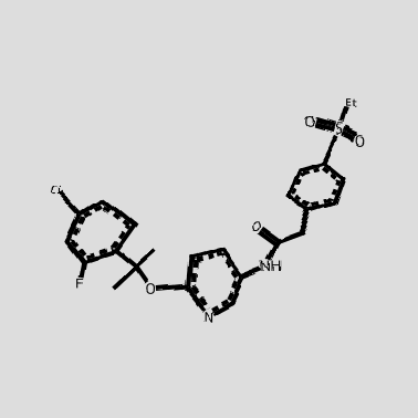 CCS(=O)(=O)c1ccc(CC(=O)Nc2ccc(OC(C)(C)c3ccc(Cl)cc3F)nc2)cc1